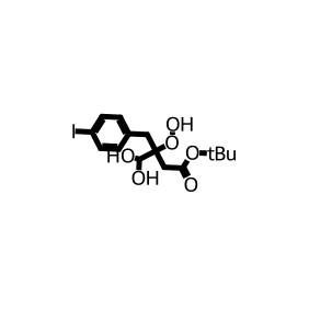 CC(C)(C)OC(=O)CC(Cc1ccc(I)cc1)(OO)C(O)O